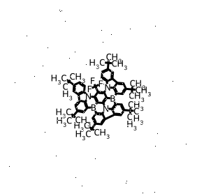 CC(C)(C)c1ccc2c(c1)c1cc(C(C)(C)C)cc3c1n2-c1c2c4c5c(c1C(F)(F)F)-n1c6ccc(C(C)(C)C)cc6c6cc(C(C)(C)C)cc(c61)B5c1cc(C(C)(C)C)cc5c6cc(C(C)(C)C)cc(c6n-4c15)B23